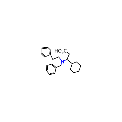 O=C(O)CC(C1CCCCC1)N(CCc1ccccc1)Cc1ccccc1